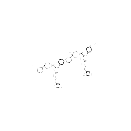 CCCOC1(C2CCCCC2)CCN(C(=O)[C@@H](Cc2ccc(OC)cc2)NC(=O)NCCc2cncn2C)CC1.CCOC(=O)C1(C2CCCCC2)CCN(C(=O)[C@@H](Cc2ccccc2)NC(=O)NCCc2cncn2C)CC1